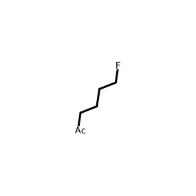 CC(=O)CCCCF